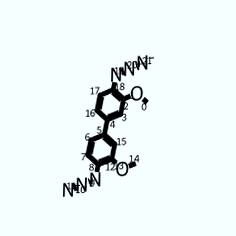 COc1cc(-c2ccc(N=[N+]=[N-])c(OC)c2)ccc1N=[N+]=[N-]